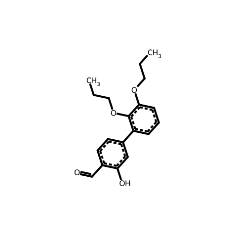 CCCOc1cccc(-c2ccc(C=O)c(O)c2)c1OCCC